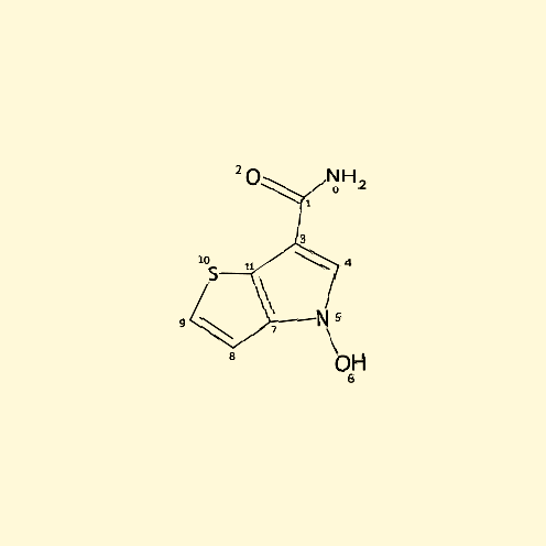 NC(=O)c1cn(O)c2ccsc12